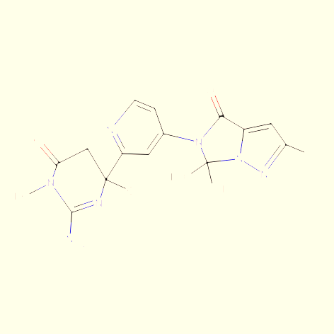 Cc1cc2n(n1)C(C)(C)N(c1ccnc(C3(C)CC(=O)N(C)C(N)=N3)c1)C2=O